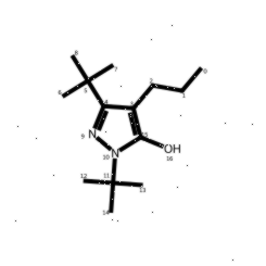 CCCc1c(C(C)(C)C)nn(C(C)(C)C)c1O